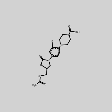 CC(=O)NCC1CN(c2ccc(N3CCN(C(=O)O)CC3)c(F)c2)C(=O)O1